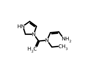 C=C(N1C=CNC1)N(/C=C\N)CC